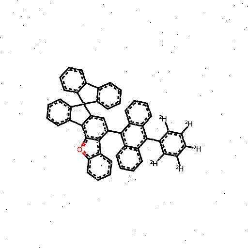 [2H]c1c([2H])c([2H])c(-c2c3ccccc3c(-c3cc4c(c5oc6ccccc6c35)-c3ccccc3C43c4ccccc4-c4ccccc43)c3ccccc23)c([2H])c1[2H]